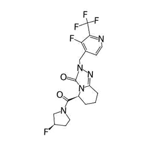 O=C([C@@H]1CCCc2nn(Cc3ccnc(C(F)(F)F)c3F)c(=O)n21)N1CC[C@@H](F)C1